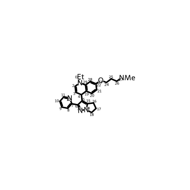 CCN1C=CC(c2c(-c3ccccn3)nn3c2CCC3)c2ccc(OCCCNC)cc21